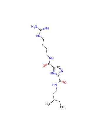 CCC(C)CCNC(=O)c1ncc(C(=O)NCCCCNC(=N)N)[nH]1